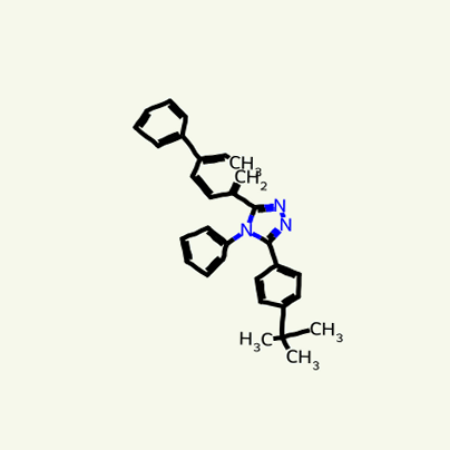 C=C(/C=C\C(=C/C)c1ccccc1)c1nnc(-c2ccc(C(C)(C)C)cc2)n1-c1ccccc1